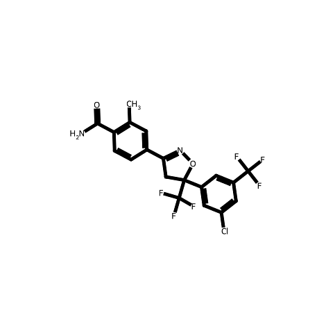 Cc1cc(C2=NOC(c3cc(Cl)cc(C(F)(F)F)c3)(C(F)(F)F)C2)ccc1C(N)=O